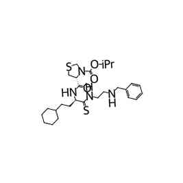 CC(C)OC(=O)N1CSC[C@H]1C(=O)N[C@H](CCC1CCCCC1)C(=S)NCCNCc1ccccc1